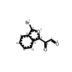 O=CC(=O)c1oc(Br)c2ccccc12